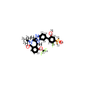 [2H]C([2H])([2H])N1C(=O)c2cccc(OC(F)F)c2[C@H]2C[C@@H]1c1nc3ccc(-c4cc(F)c(P(C)(C)=O)cc4OC)cc3n12